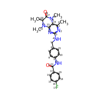 Cc1nc(NCc2ccc(NC(=O)c3ccc(F)cc3)cc2)nc2c1N(C)C(=O)[C@H](C)N2C